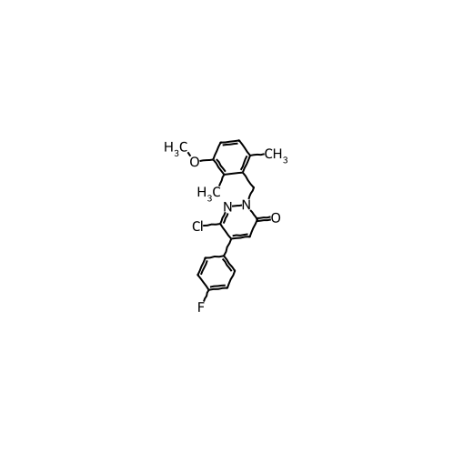 COc1ccc(C)c(Cn2nc(Cl)c(-c3ccc(F)cc3)cc2=O)c1C